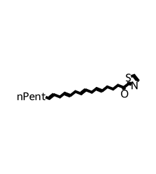 CCCCCC=CCC=CCC=CCC=CCCCC(=O)c1nccs1